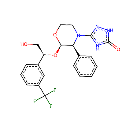 O=c1[nH]nc(N2CCO[C@H](O[C@H](CO)c3cccc(C(F)(F)F)c3)[C@@H]2c2ccccc2)[nH]1